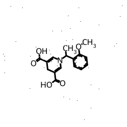 COc1ccccc1C(C)N1C=C(C(=O)O)CC(C(=O)O)=C1